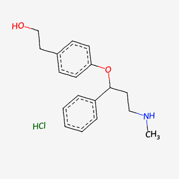 CNCCC(Oc1ccc(CCO)cc1)c1ccccc1.Cl